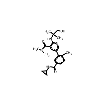 Cc1ccc(C(=O)NC2CC2)cc1-c1cnc(NC(C)(C)CO)c(C(=O)N(C)C)c1